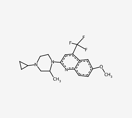 COc1ccc2nc(N3CCN(C4CC4)CC3C)cc(C(F)(F)F)c2c1